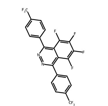 Fc1c(F)c(F)c2c(-c3ccc(C(F)(F)F)cc3)nnc(-c3ccc(C(F)(F)F)cc3)c2c1F